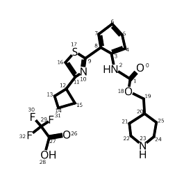 O=C(Nc1ccccc1-c1nc(C2CCC2)cs1)OCC1CCNCC1.O=C(O)C(F)(F)F